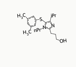 CCCn1c(CCCO)nc(C(C)C)c1Sc1cc(C)cc(C)c1